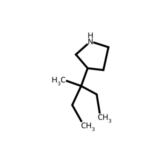 CCC(C)(CC)C1CCNC1